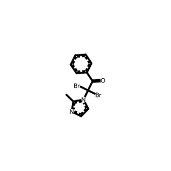 Cc1nccn1C(Br)(Br)C(=O)c1ccccc1